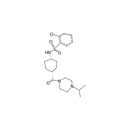 CC(C)N1CCN(C(=O)[C@H]2CC[C@@H](NS(=O)(=O)c3ccccc3Cl)CC2)CC1